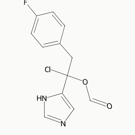 O=COC(Cl)(Cc1ccc(F)cc1)c1cnc[nH]1